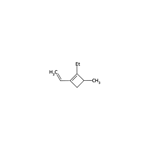 C=CC1=C(CC)C(C)C1